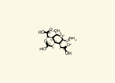 C[C@@H]1O[C@@H](ON)[C@@H](CC(=O)O)[C@H](CC(=O)O)[C@H]1CC(=O)O